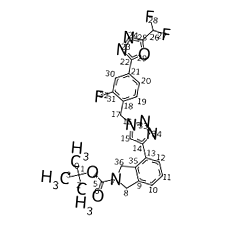 CC(C)(C)OC(=O)N1Cc2cccc(-c3cn(Cc4ccc(-c5nnc(C(F)F)o5)cc4F)nn3)c2C1